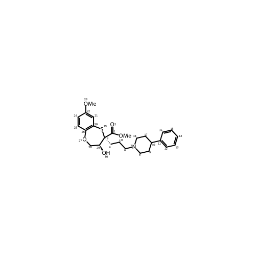 COC(=O)[C@]1(CCCN2CCC(c3ccccc3)CC2)Sc2cc(OC)ccc2OC[C@@H]1O